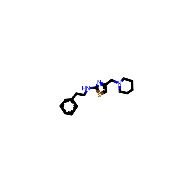 c1ccc(CCNc2nc(CN3CCCCC3)cs2)cc1